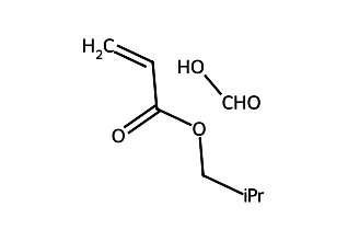 C=CC(=O)OCC(C)C.O=CO